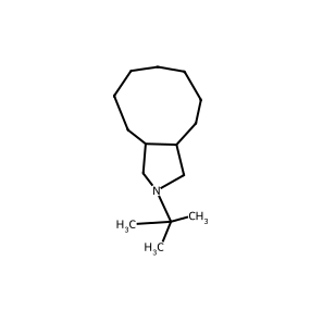 CC(C)(C)N1CC2CCCCCCCC2C1